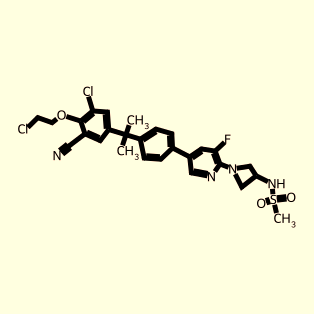 CC(C)(c1ccc(-c2cnc(N3CC(NS(C)(=O)=O)C3)c(F)c2)cc1)c1cc(Cl)c(OCCCl)c(C#N)c1